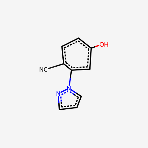 N#Cc1ccc(O)cc1-n1cccn1